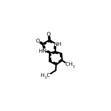 CCc1cc2[nH]c(=O)c(=O)[nH]c2cc1C